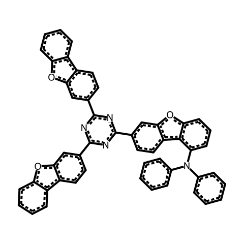 c1ccc(N(c2ccccc2)c2cccc3oc4cc(-c5nc(-c6ccc7c(c6)oc6ccccc67)nc(-c6ccc7c(c6)oc6ccccc67)n5)ccc4c23)cc1